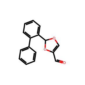 O=CC1=COC(c2ccccc2-c2ccccc2)O1